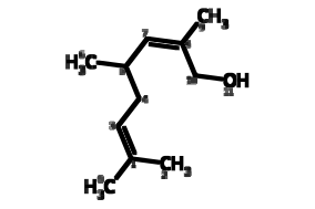 CC(C)=CCC(C)/C=C(/C)CO